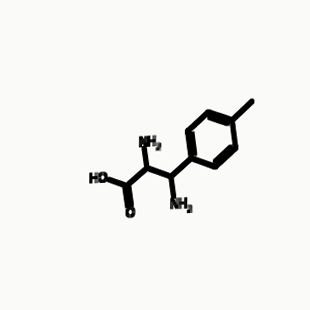 Cc1ccc(C(N)C(N)C(=O)O)cc1